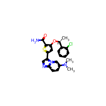 C[C@@H](Oc1cc(-c2cnc3ccc(N(C)C)cn23)sc1C(N)=O)c1ccccc1Cl